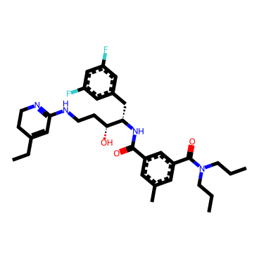 CCCN(CCC)C(=O)c1cc(C)cc(C(=O)N[C@@H](Cc2cc(F)cc(F)c2)[C@H](O)CCNC2=NCCC(CC)=C2)c1